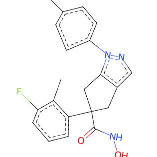 Cc1ccc(-n2ncc3c2CC(C(=O)NO)(c2cccc(F)c2C)C3)cc1